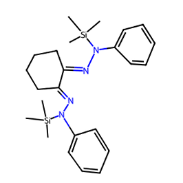 C[Si](C)(C)N(N=C1CCCCC1=NN(c1ccccc1)[Si](C)(C)C)c1ccccc1